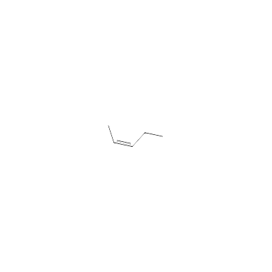 C[CH]/C=C\C